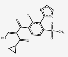 CS(=O)(=O)c1ccc(C(=O)C(=CO)C(=O)C2CC2)c(Cl)c1-c1nccs1